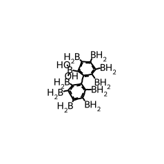 Bc1c(B)c(B)c(-c2c(B)c(B)c(B)c(B)c2B(O)O)c(B)c1B